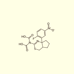 O=C(O)N(C(=O)O)C1=NC2(c3cc([N+](=O)[O-])ccc3F)CCCC2CS1